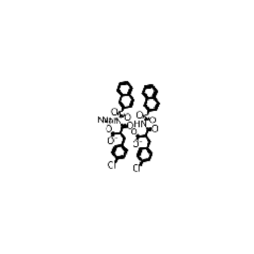 O=C([O-])C(Cc1ccc(Cl)cc1)C(=O)NS(=O)(=O)c1ccc2ccccc2c1.O=C([O-])C(Cc1ccc(Cl)cc1)C(=O)NS(=O)(=O)c1ccc2ccccc2c1.[Na+].[Na+]